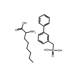 CCCCCCC(N)C(=O)O.O=P(O)(O)Cc1cccc(-c2ccccc2)c1